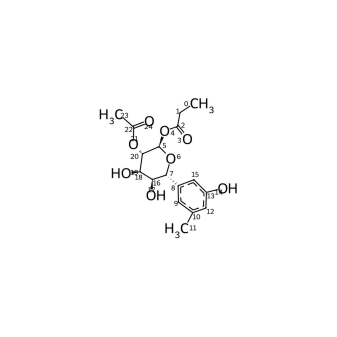 CCC(=O)O[C@H]1O[C@H](c2cc(C)cc(O)c2)[C@@H](O)[C@@H](O)[C@@H]1OC(C)=O